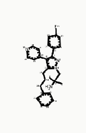 CC(C)(N)Cn1nc(-c2ccc(F)cc2)c(-c2ccncc2)c1CCCc1ccccc1